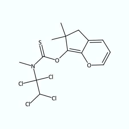 CN(C(=S)OC1=C2OC=CC=C2CC1(C)C)C(Cl)(Cl)C(Cl)Cl